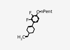 C=CC1CC=C(c2ccc(OCCCCC)c(F)c2F)CC1